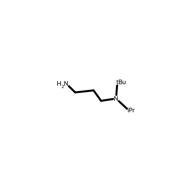 CC(C)N(CCCN)C(C)(C)C